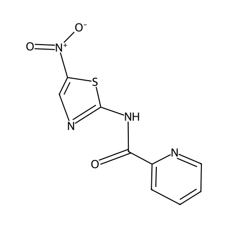 O=C(Nc1ncc([N+](=O)[O-])s1)c1ccccn1